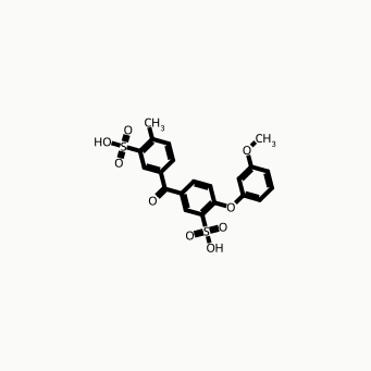 COc1cccc(Oc2ccc(C(=O)c3ccc(C)c(S(=O)(=O)O)c3)cc2S(=O)(=O)O)c1